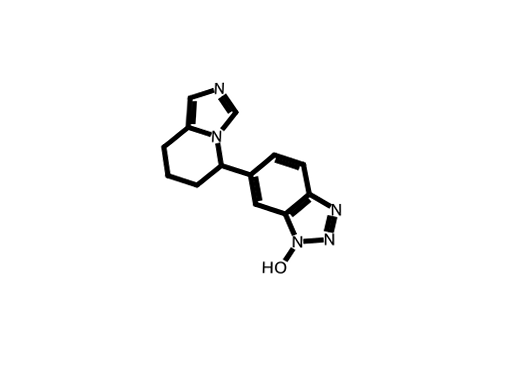 On1nnc2ccc(C3CCCc4cncn43)cc21